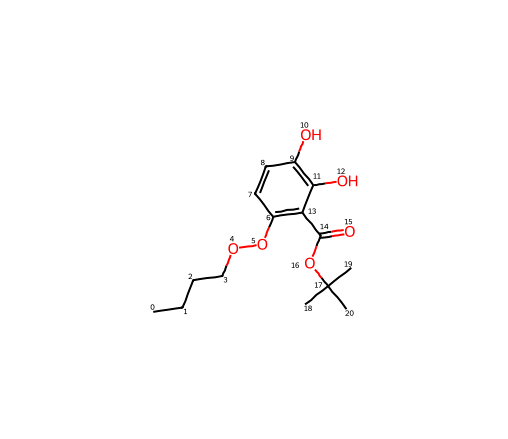 CCCCOOc1ccc(O)c(O)c1C(=O)OC(C)(C)C